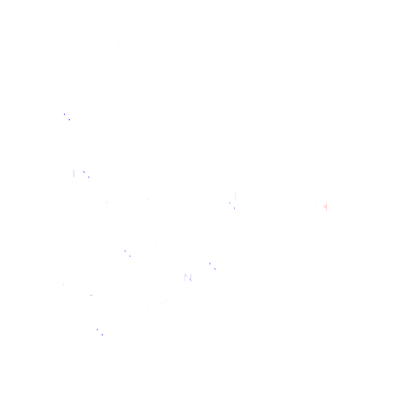 CC(C)N1Cc2c(n(CC(=O)Nc3ccc(F)cn3)c3cc(NCCO)nn3c2=O)C1=O